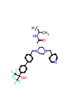 CC(C)NC(=O)C[C@@H]1CN(Cc2ccncc2)CCN1Cc1ccc(-c2ccc(C(O)(C(F)(F)F)C(F)(F)F)cc2)cc1